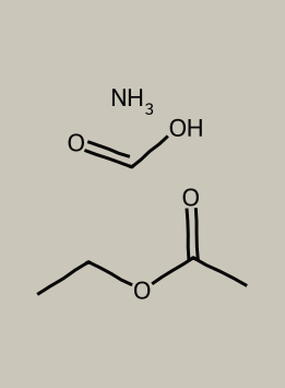 CCOC(C)=O.N.O=CO